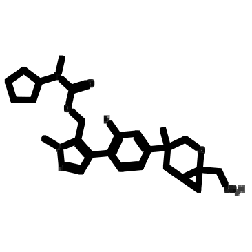 CN(C(=O)OCc1c(-c2ccc(C3(C)COC4(CC(=O)O)CC4C3)cc2F)cnn1C)C1CCCC1